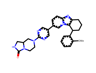 COc1ccccc1C1CCCc2nc3ccc(-c4cnc(N5CCN6C(=O)NCC6C5)nc4)cn3c21